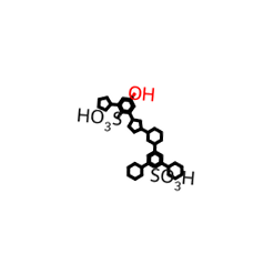 O=S(=O)(O)c1c(C2CCCCC2)cc(C2CCCC(C3CCC(c4cc(O)cc(C5CCCC5)c4S(=O)(=O)O)C3)C2)cc1C1CCCCC1